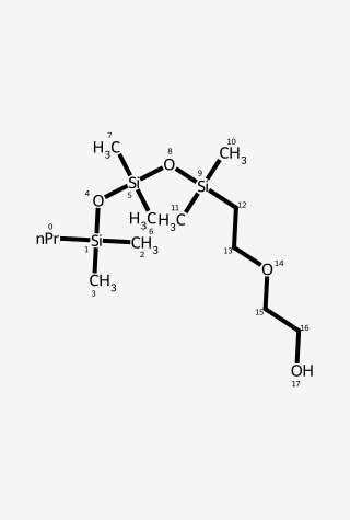 CCC[Si](C)(C)O[Si](C)(C)O[Si](C)(C)CCOCCO